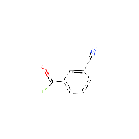 N#Cc1cccc(C(=O)F)c1